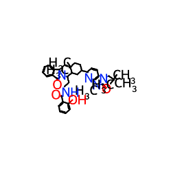 Cn1c(=O)n(CC(C)(C)C)c2ccc(C3CCC(C)(C)C(C(CCNC(=O)c4ccccc4O)N4Cc5ccccc5C4=O)C3)nc21